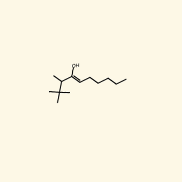 CCCCCC=C(O)C(C)C(C)(C)C